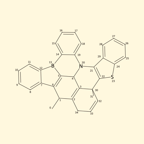 CC1C2=C3C4C5=C1c1ccccc1B5c1ccccc1N4c1c(sc4ccccc14)C3(C)C=CC2